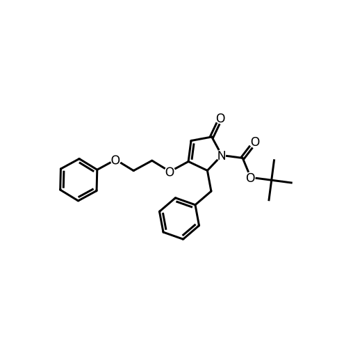 CC(C)(C)OC(=O)N1C(=O)C=C(OCCOc2ccccc2)C1Cc1ccccc1